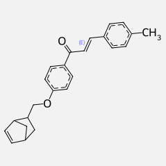 Cc1ccc(/C=C/C(=O)c2ccc(OCC3CC4C=CC3C4)cc2)cc1